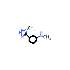 CNc1cccc(-c2nnnn2C)c1